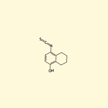 Oc1ccc(N=C=S)c2c1CCCC2